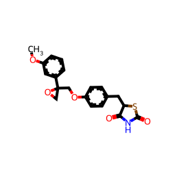 COc1cccc(C2(COc3ccc(CC4SC(=O)NC4=O)cc3)CO2)c1